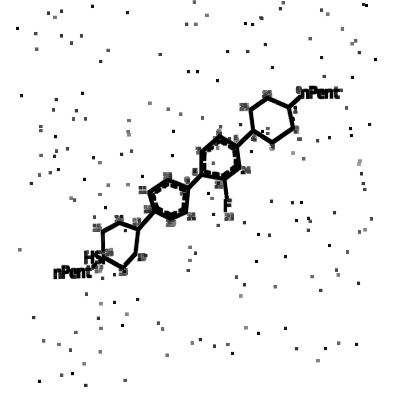 CCCCCC1CCC(c2ccc(-c3ccc(C4CC[SiH](CCCCC)CC4)cc3)c(F)c2)CC1